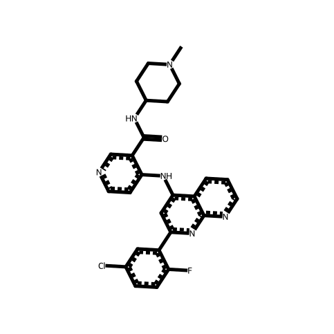 CN1CCC(NC(=O)c2cnccc2Nc2cc(-c3cc(Cl)ccc3F)nc3ncccc23)CC1